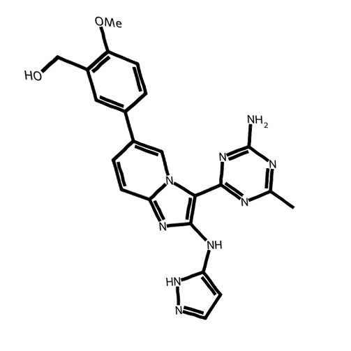 COc1ccc(-c2ccc3nc(Nc4ccn[nH]4)c(-c4nc(C)nc(N)n4)n3c2)cc1CO